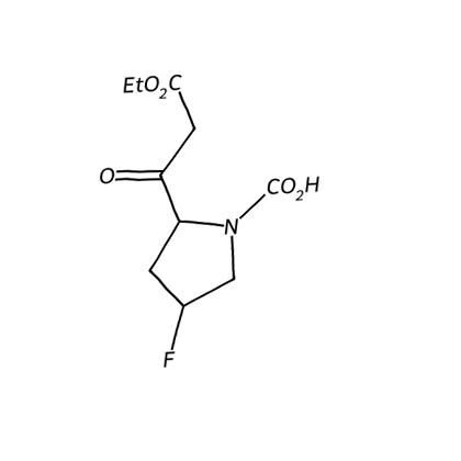 CCOC(=O)CC(=O)C1CC(F)CN1C(=O)O